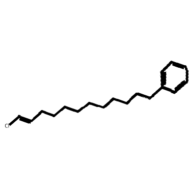 ClC=CCCCCCCCCCCc1ccccc1